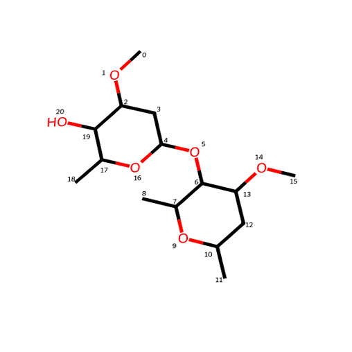 COC1CC(OC2C(C)OC(C)CC2OC)OC(C)C1O